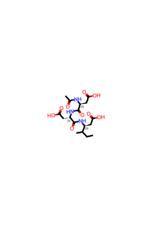 CCC(C)[C@H](CC(=O)O)NC(=O)[C@H](CC(=O)O)NC(=O)[C@H](CC(=O)O)NC(C)=O